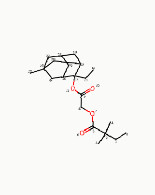 CCC(C)(C)C(=O)OCC(=O)OC1(CC)C2CC3CC1CC(C)(C3)C2